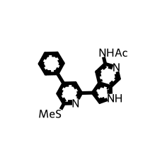 CSc1cc(-c2ccccc2)cc(-c2c[nH]c3cnc(NC(C)=O)cc23)n1